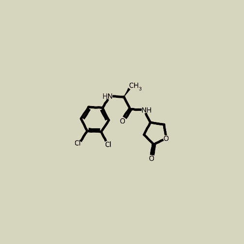 C[C@H](Nc1ccc(Cl)c(Cl)c1)C(=O)NC1COC(=O)C1